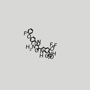 Cc1cc(Oc2ccccc2F)ccc1-n1ncc(C(=O)c2cc3cc(OC(F)F)c(NS(C)(=O)=O)cc3[nH]2)c1N